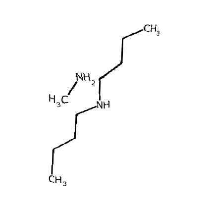 CCCCNCCCC.CN